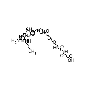 CCCCCNc1nc(N)nc2ccn(Cc3ccc(CN4CCN(C(=O)CCOCCOCCNC(=O)CNC(=O)CCC(=O)O)CC4)cc3OC)c12